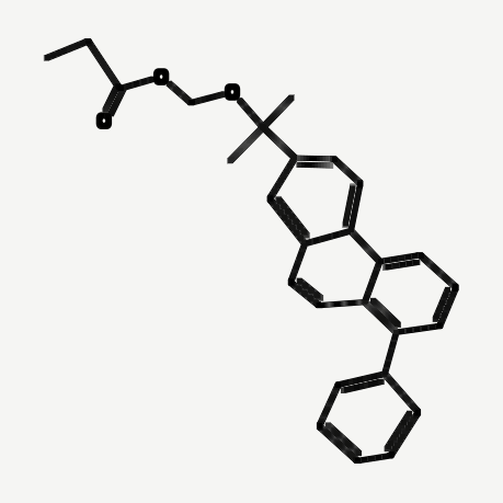 CCC(=O)OCOC(C)(C)c1ccc2c(ccc3c(-c4ccccc4)cccc32)c1